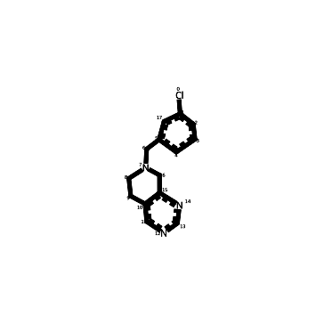 Clc1cccc(CN2CCc3cncnc3C2)c1